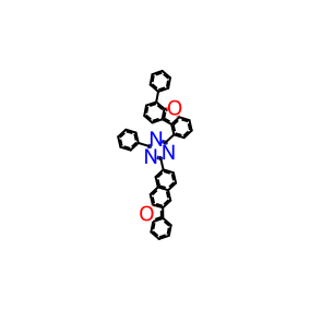 c1ccc(-c2nc(-c3ccc4cc5c(cc4c3)oc3ccccc35)nc(-c3cccc4oc5c(-c6ccccc6)cccc5c34)n2)cc1